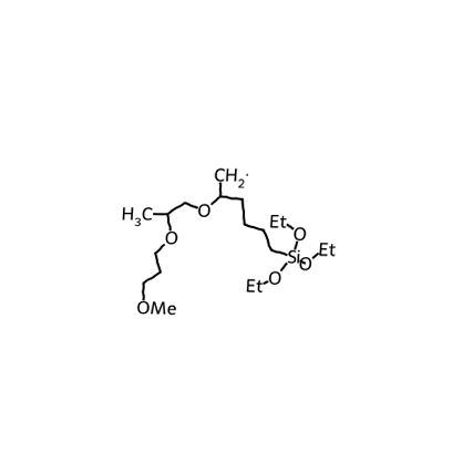 [CH2]C(CCCC[Si](OCC)(OCC)OCC)OCC(C)OCCCOC